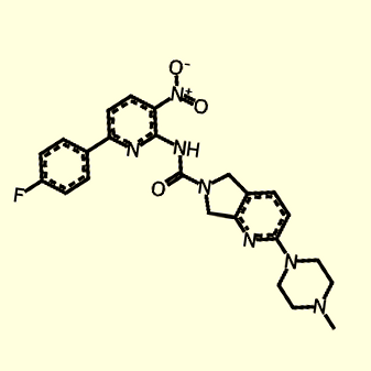 CN1CCN(c2ccc3c(n2)CN(C(=O)Nc2nc(-c4ccc(F)cc4)ccc2[N+](=O)[O-])C3)CC1